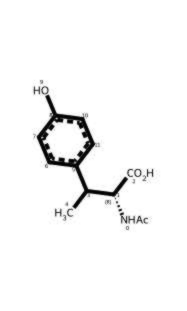 CC(=O)N[C@@H](C(=O)O)C(C)c1ccc(O)cc1